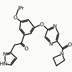 CC(C)Oc1cc(Oc2cnc(C(=O)N3CCC3)cn2)cc(C(=O)Cc2cc[nH]n2)c1